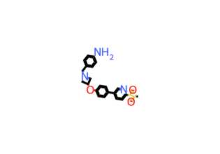 CS(=O)(=O)c1ccc(-c2ccc(OC3CN(Cc4ccc(N)cc4)C3)cc2)cn1